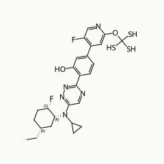 CC[C@@H]1CC[C@H](F)[C@H](N(c2cnc(-c3ccc(-c4cc(OC(S)(S)S)ncc4F)cc3O)nn2)C2CC2)C1